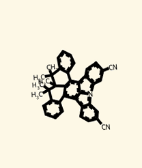 CC1(C)c2ccccc2-c2c3c(c4c5ccc(C#N)cc5n5c6cc(C#N)ccc6c2c45)-c2ccccc2C(C)(C)C31C